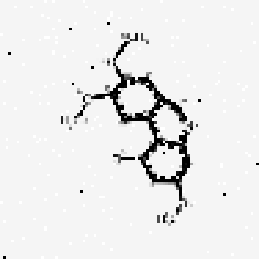 COc1cc(Cl)c2c(c1)ncc1cc(OC)c(OC)cc12